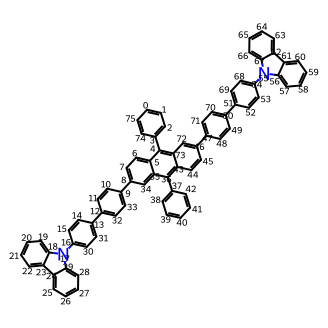 c1ccc(-c2c3ccc(-c4ccc(-c5ccc(-n6c7ccccc7c7ccccc76)cc5)cc4)cc3c(-c3ccccc3)c3ccc(-c4ccc(-c5ccc(-n6c7ccccc7c7ccccc76)cc5)cc4)cc23)cc1